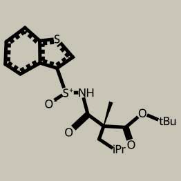 CC(C)C[C@](C)(C(=O)N[S+]([O-])c1csc2ccccc12)C(=O)OC(C)(C)C